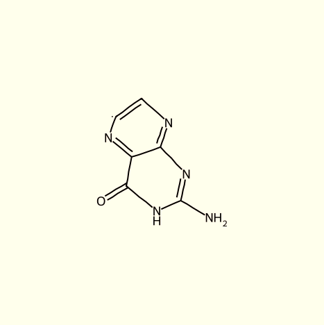 Nc1nc2nc[c]nc2c(=O)[nH]1